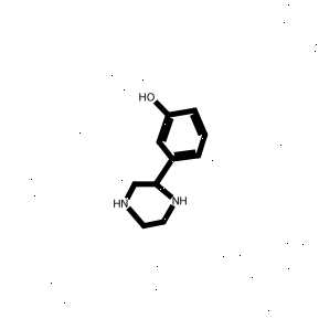 Oc1cccc(C2CNCCN2)c1